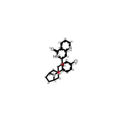 O=c1[nH]c(CCCN2C3CCC2CN(c2ccc(Cl)cc2)C3)cc2ncccc12